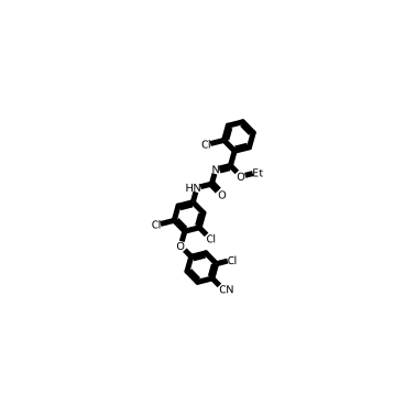 CCOC(=NC(=O)Nc1cc(Cl)c(Oc2ccc(C#N)c(Cl)c2)c(Cl)c1)c1ccccc1Cl